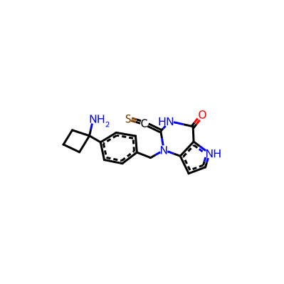 NC1(c2ccc(CN3C(=C=S)NC(=O)c4[nH]ccc43)cc2)CCC1